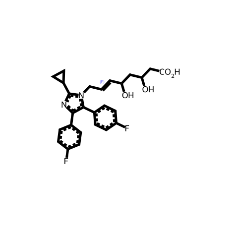 O=C(O)CC(O)CC(O)/C=C/Cn1c(C2CC2)nc(-c2ccc(F)cc2)c1-c1ccc(F)cc1